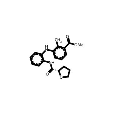 COC(=O)c1cccc(Nc2ccccc2NC(=O)[C@@H]2CCCO2)c1C